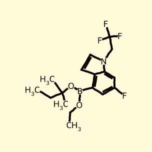 CCOB(OC(C)(C)CC)c1cc(F)cc2c1ccn2CC(F)(F)F